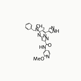 COc1cc(NC(=O)c2cc3nc(N(C)Cc4ccccc4)cc(-c4cn[nH]c4)n3n2)ccn1